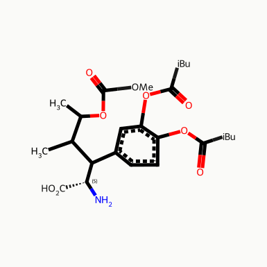 CCC(C)C(=O)Oc1ccc(C(C(C)C(C)OC(=O)OC)[C@H](N)C(=O)O)cc1OC(=O)C(C)CC